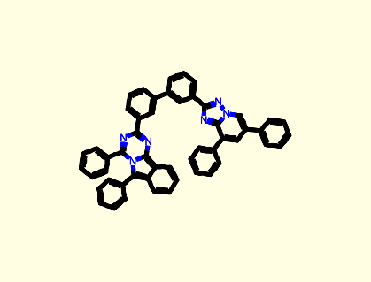 c1ccc(-c2cc(-c3ccccc3)c3nc(-c4cccc(-c5cccc(-c6nc(-c7ccccc7)n7c(-c8ccccc8)c8ccccc8c7n6)c5)c4)nn3c2)cc1